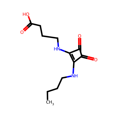 CCCCNc1c(NCCCC(=O)O)c(=O)c1=O